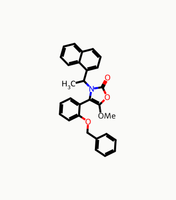 COc1oc(=O)n(C(C)c2cccc3ccccc23)c1-c1ccccc1OCc1ccccc1